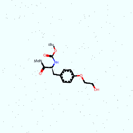 CNC(=O)[C@H](Cc1ccc(OCCO)cc1)NC(=O)OC(C)(C)C